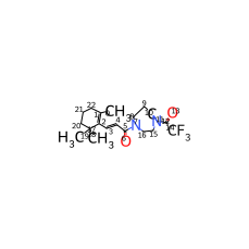 CC1=C(C=CC(=O)N2CCCN(C(=O)C(F)(F)F)CC2)C(C)(C)CCC1